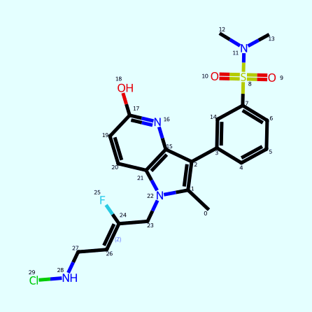 Cc1c(-c2cccc(S(=O)(=O)N(C)C)c2)c2nc(O)ccc2n1C/C(F)=C/CNCl